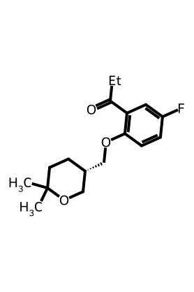 CCC(=O)c1cc(F)ccc1OC[C@H]1CCC(C)(C)OC1